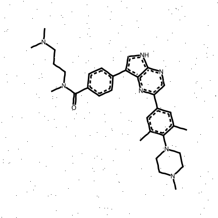 Cc1cc(-c2cnc3[nH]cc(-c4ccc(C(=O)N(C)CCCN(C)C)cc4)c3n2)cc(C)c1N1CCN(C)CC1